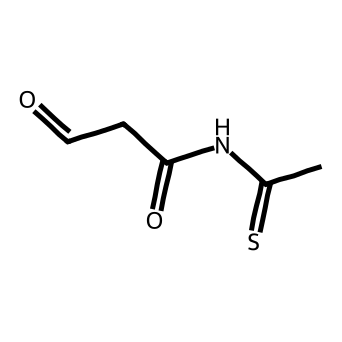 CC(=S)NC(=O)CC=O